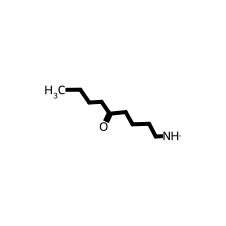 CCCCC(=O)CCCC[NH]